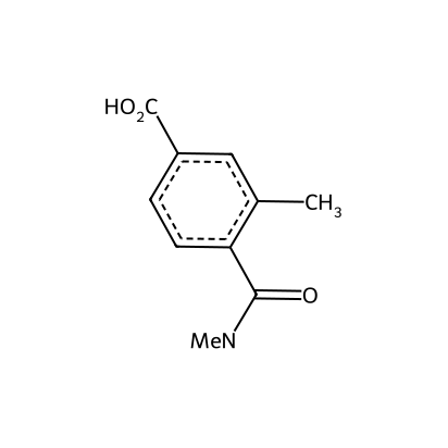 CNC(=O)c1ccc(C(=O)O)cc1C